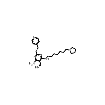 N=Cc1c(N)nc(OCc2ccncc2)nc1NCCCCCCCN1CCCC1